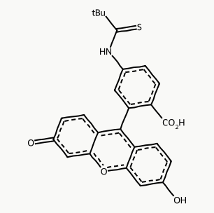 CC(C)(C)C(=S)Nc1ccc(C(=O)O)c(-c2c3ccc(=O)cc-3oc3cc(O)ccc23)c1